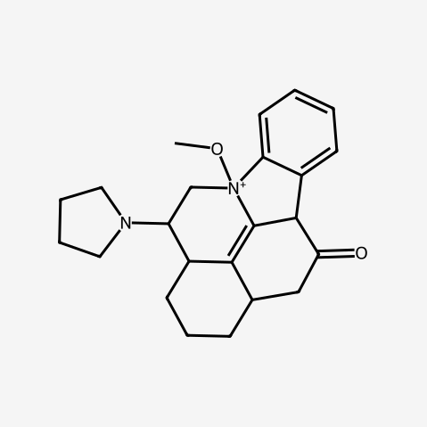 CO[N+]12CC(N3CCCC3)C3CCCC4CC(=O)C(C1=C43)c1ccccc12